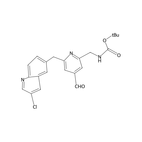 CC(C)(C)OC(=O)NCc1cc(C=O)cc(Cc2ccc3ncc(Cl)cc3c2)n1